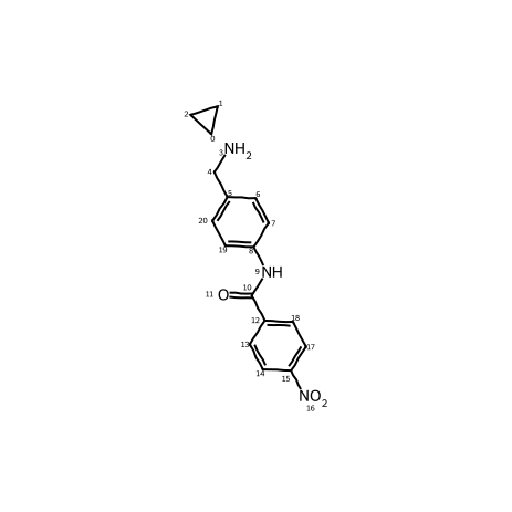 C1CC1.NCc1ccc(NC(=O)c2ccc([N+](=O)[O-])cc2)cc1